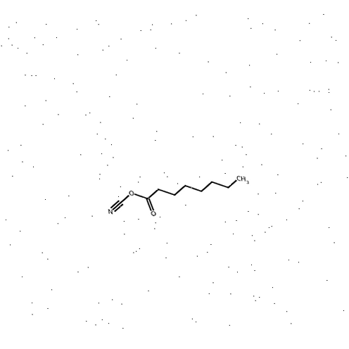 CCCCCCCC(=O)OC#N